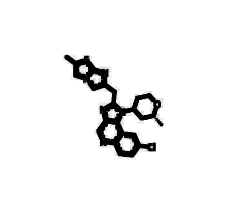 Cc1cn2cc(Cc3nc4cnc5ccc(Cl)cc5c4n3C3CCO[C@H](C)C3)nc2s1